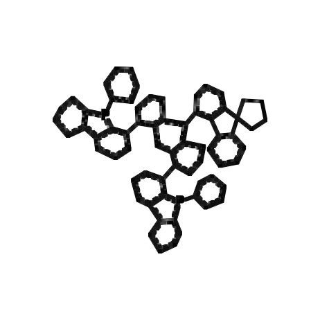 c1ccc(-p2c3ccccc3c3cccc(-c4cccc5c(-c6cccc7c6-c6ccccc6C76CCCC6)c6cccc(-c7cccc8c9ccccc9p(-c9ccccc9)c78)c6cc45)c32)cc1